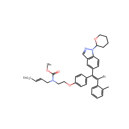 CCOC(=O)/C=C/CN(CCOc1ccc(/C(=C(/CC)c2ccccc2C)c2ccc3c(cnn3C3CCCCO3)c2)cc1)C(=O)OC(C)(C)C